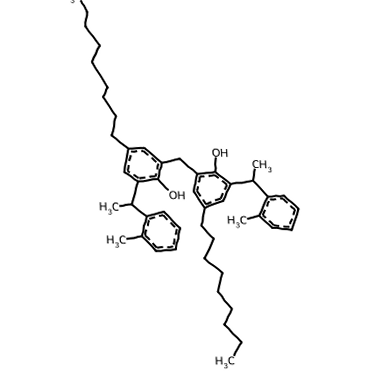 CCCCCCCCCc1cc(Cc2cc(CCCCCCCCC)cc(C(C)c3ccccc3C)c2O)c(O)c(C(C)c2ccccc2C)c1